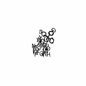 COc1ccc(C(OC[C@H]2O[C@@H](n3ccc(NC(C)=O)nc3=O)[C@@H](OCOCC(C(F)(F)F)C(F)(F)F)C2OP(OCCC#N)N(C(C)C)C(C)C)(c2ccccc2)c2ccc(OC)cc2)cc1